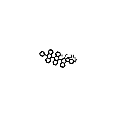 CC1(C)c2cc(F)ccc2-c2c1cc(-c1c3ccccc3c(-c3c4ccccc4c(-c4ccccc4)c4ccccc34)c3ccccc13)c1ccccc21